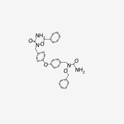 NC(=O)N(Cc1ccc(Oc2ccc(CN(OCc3ccccc3)C(N)=O)cc2)cc1)OCc1ccccc1